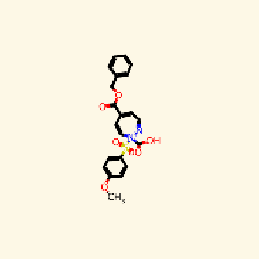 COc1ccc(S(=O)(=O)[N+]2(C(=O)O)C=CC(C(=O)OCc3ccccc3)=CC=N2)cc1